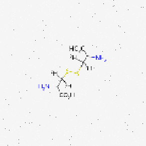 [2H]C([2H])(SSC([2H])([2H])C(N)C(=O)O)C(N)C(=O)O